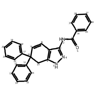 O=C(Nc1n[nH]c2c1C=CC(c1ccccc1)(c1ccccc1)C2)c1ccccc1